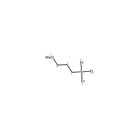 CC[Si](CC)(CC)CCCOC